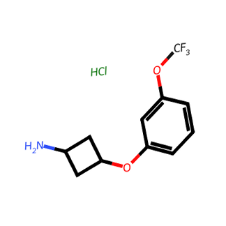 Cl.NC1CC(Oc2cccc(OC(F)(F)F)c2)C1